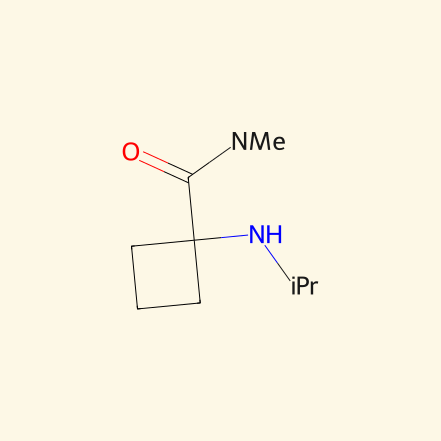 CNC(=O)C1(NC(C)C)CCC1